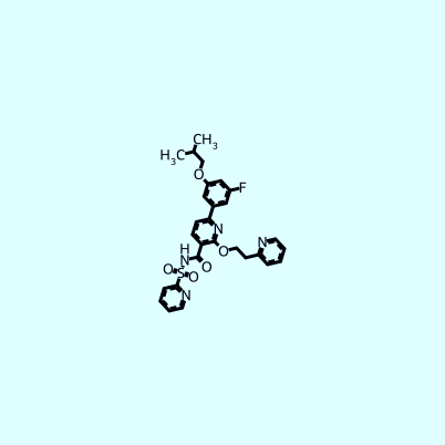 CC(C)COc1cc(F)cc(-c2ccc(C(=O)NS(=O)(=O)c3ccccn3)c(OCCc3ccccn3)n2)c1